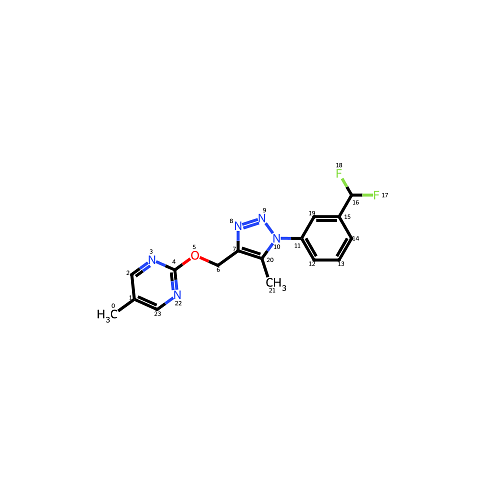 Cc1cnc(OCc2nnn(-c3cccc(C(F)F)c3)c2C)nc1